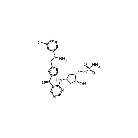 NN(Cc1csc(C(=O)c2cncnc2N[C@@H]2C[C@H](COS(N)(=O)=O)[C@@H](O)C2)c1)c1cccc(Cl)c1